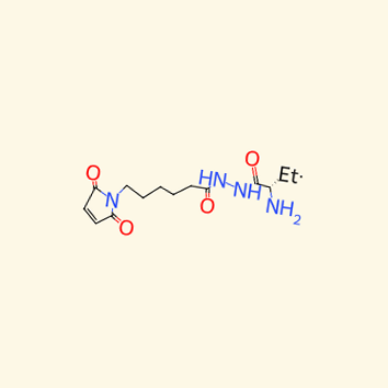 C[CH][C@H](N)C(=O)NNC(=O)CCCCCN1C(=O)C=CC1=O